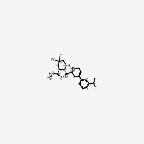 CC(C)c1cccc(C2=CCNC(C(=O)[C@H]3NCC(F)(F)C[C@@H]3C(=O)NO)C2)c1